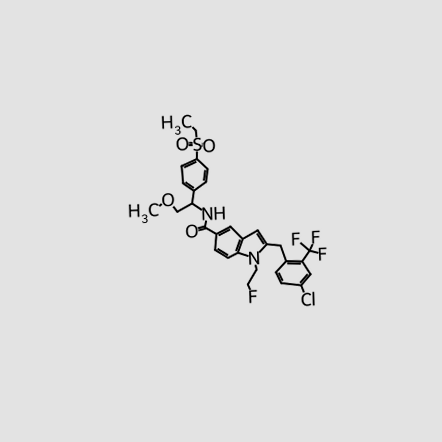 CCS(=O)(=O)c1ccc(C(COC)NC(=O)c2ccc3c(c2)cc(Cc2ccc(Cl)cc2C(F)(F)F)n3CCF)cc1